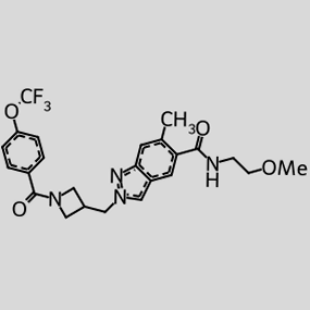 COCCNC(=O)c1cc2cn(CC3CN(C(=O)c4ccc(OC(F)(F)F)cc4)C3)nc2cc1C